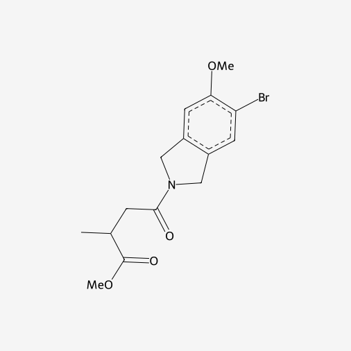 COC(=O)C(C)CC(=O)N1Cc2cc(Br)c(OC)cc2C1